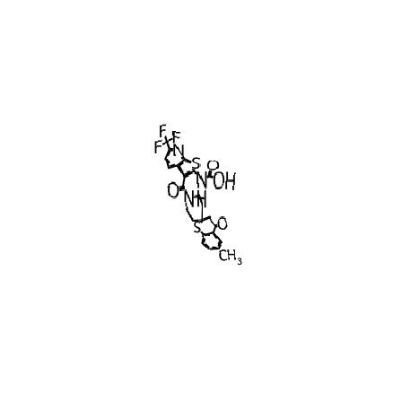 Cc1ccc2c(c1)C(=O)CC1(CCN(C(=O)c3c(NC(=O)O)sc4nc(C(F)(F)F)ccc34)CC1)S2